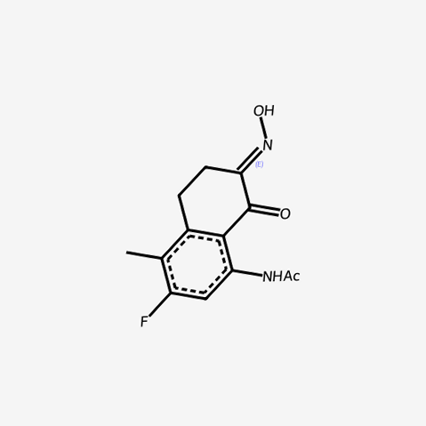 CC(=O)Nc1cc(F)c(C)c2c1C(=O)/C(=N/O)CC2